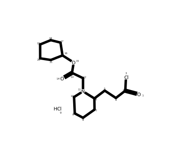 Cl.O=C(Cl)CCC1CCCCN1CC(=O)OC1CCCCC1